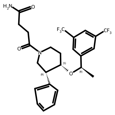 C[C@@H](O[C@H]1CCN(C(=O)CCC(N)=O)C[C@H]1c1ccccc1)c1cc(C(F)(F)F)cc(C(F)(F)F)c1